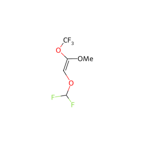 CO/C(=C\OC(F)F)OC(F)(F)F